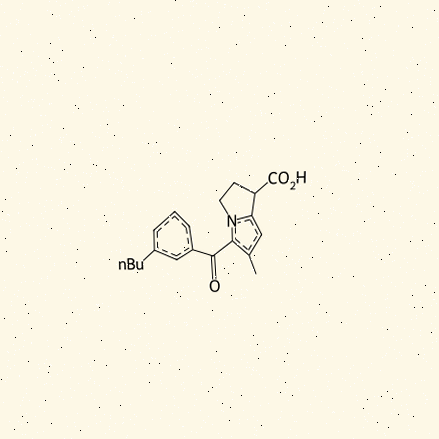 CCCCc1cccc(C(=O)c2c(C)cc3n2CCC3C(=O)O)c1